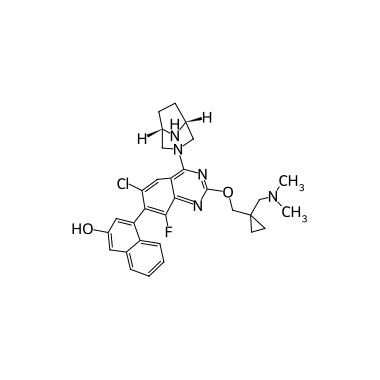 CN(C)CC1(COc2nc(N3C[C@H]4CC[C@@H](C3)N4)c3cc(Cl)c(-c4cc(O)cc5ccccc45)c(F)c3n2)CC1